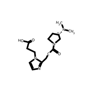 CN(C)[C@H]1CCN(C(=O)CCc2nccn2CCC(=O)O)C1